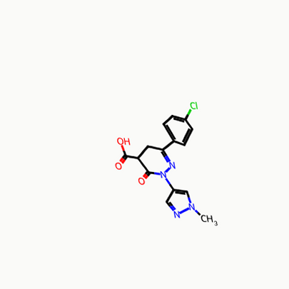 Cn1cc(N2N=C(c3ccc(Cl)cc3)CC(C(=O)O)C2=O)cn1